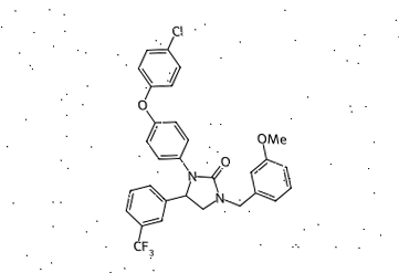 COc1cccc(CN2CC(c3cccc(C(F)(F)F)c3)N(c3ccc(Oc4ccc(Cl)cc4)cc3)C2=O)c1